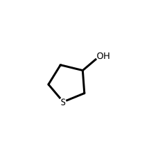 OC1CCSC1